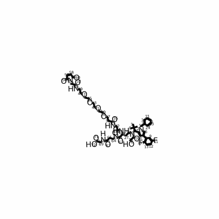 CC(C)(C)[C@H](c1cc(-c2cc(F)ccc2F)cn1Cc1ccccc1)N(CC[C@H](NC(=O)CNC(=O)CCOCCOCCOCCOCCNC(=O)CN1C(=O)C=CC1=O)C(=O)NCCC(=O)NCC(=O)O)C(=O)CO